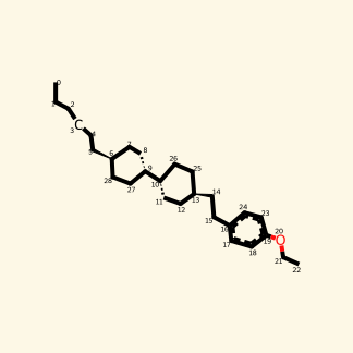 CCCCCC[C@H]1CC[C@H]([C@H]2CC[C@H](CCc3ccc(OCC)cc3)CC2)CC1